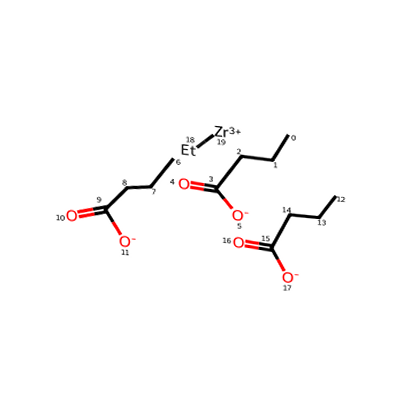 CCCC(=O)[O-].CCCC(=O)[O-].CCCC(=O)[O-].C[CH2][Zr+3]